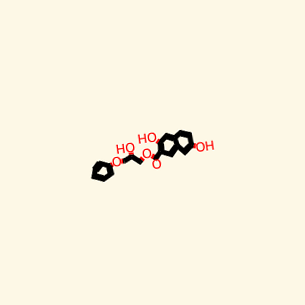 O=C(OCC(O)COc1c#cccc1)c1cc2cc(O)ccc2cc1O